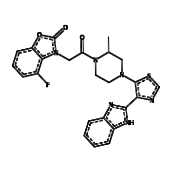 CC1CN(c2scnc2-c2nc3ccccc3[nH]2)CCN1C(=O)Cn1c(=O)oc2cccc(F)c21